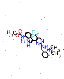 COC(=O)Nc1cccc2c(-c3nc(NC[C@@H]4CCCC[C@@H]4CN(C)C)ncc3C(F)(F)F)c[nH]c12